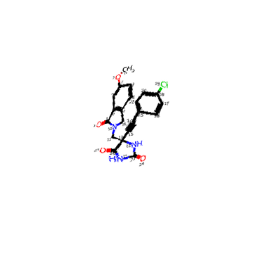 COc1ccc2c(c1)C(=O)N(C[C@@]1(C#Cc3ccc(Cl)cc3)NC(=O)NC1=O)C2